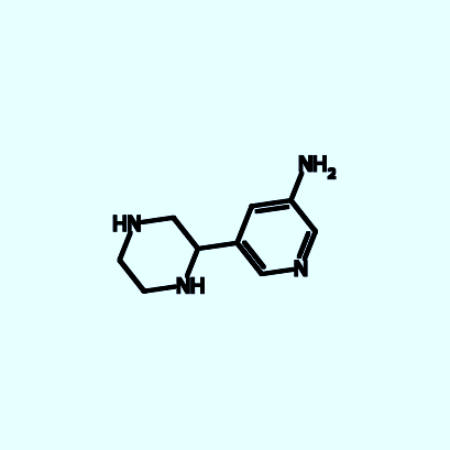 Nc1cncc(C2CNCCN2)c1